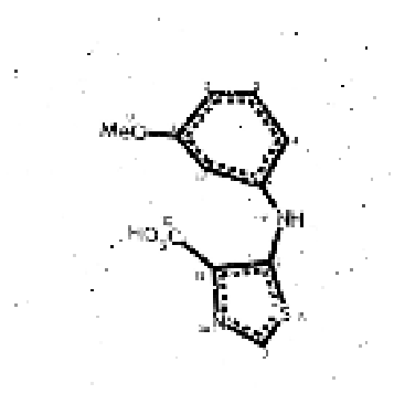 COc1cccc(Nc2scnc2C(=O)O)c1